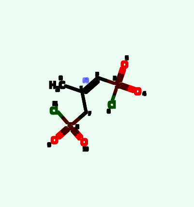 C/C(=C/S(=O)(=O)Cl)CS(=O)(=O)Cl